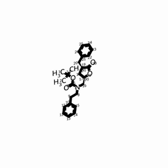 CC(C)(C)OC(=O)N(CCc1ccccc1)C[C@H]1C[C@@H](Cc2ccccc2)C(=O)O1